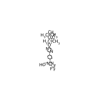 CC(C)(C)OC(=O)C(C)(C)COc1cnc(-c2ccc(-c3nc(C(F)(F)F)cn3CO)cc2)cn1